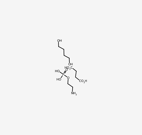 NCCOP(=O)(O)O.O=C(O)CCC(=O)O.OCCCCO